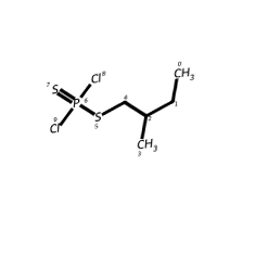 CCC(C)CSP(=S)(Cl)Cl